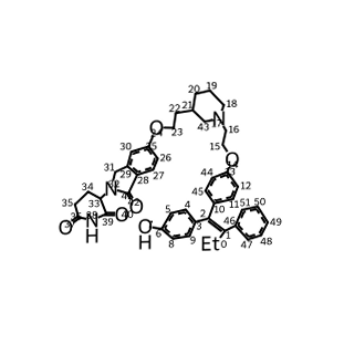 CC/C(=C(\c1ccc(O)cc1)c1ccc(OCCN2CCCC(CCOc3ccc4c(c3)CN(C3CCC(=O)NC3=O)C4=O)C2)cc1)c1ccccc1